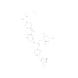 CCN(CC)CCN(C)C(=O)c1ccc(Nc2nccc(N(Cc3ccc(-c4noc(C)n4)cc3)C(=O)Oc3c(C)cc(C)cc3C)n2)cc1